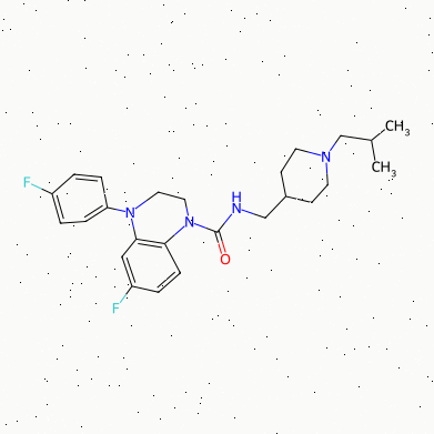 CC(C)CN1CCC(CNC(=O)N2CCN(c3ccc(F)cc3)c3cc(F)ccc32)CC1